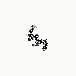 C[C@@H]1CN(C(=O)OC(C)(C)C)C[C@H]1c1cn2c(C3=C(CCCC4[C@@H](C)[C@H](c5cn6c(C7CCOCC7)ncc6c(=O)[nH]5)CN4C(=O)OC(C)(C)C)COCC3)nc(Br)c2c(=O)[nH]1